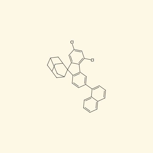 Clc1cc(Cl)c2c(c1)C1(c3ccc(-c4cccc5ccccc45)cc3-2)C2CC3CC(C2)CC1C3